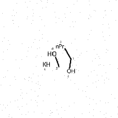 CCCCO.CO.[KH]